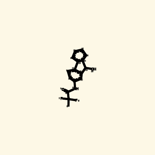 CC(F)(F)C(=O)Nc1ccc2c(c1)C(O)c1ccccc1-2